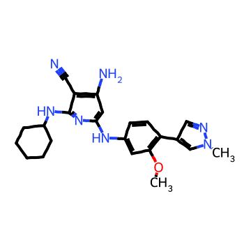 COc1cc(Nc2cc(N)c(C#N)c(NC3CCCCC3)n2)ccc1-c1cnn(C)c1